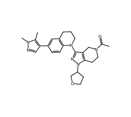 CC(=O)N1CCc2c(c(N3CCCc4cc(-c5cnn(C)c5C)ccc43)nn2C2CCOC2)C1